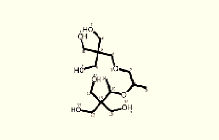 CC(COCC(CO)(CO)CO)OC(C)C(CO)(CO)CO